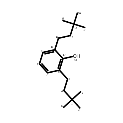 CC(C)(C)CCc1cccc(CCC(C)(C)C)c1O